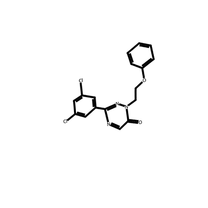 O=c1cnc(-c2cc(Cl)cc(Cl)c2)nn1CCOc1ccccc1